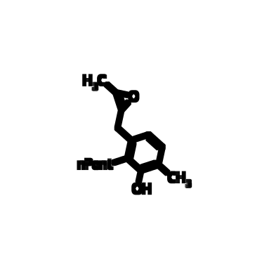 CCCCCc1c(CC2=C(C)O2)ccc(C)c1O